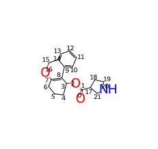 O=C(OC1CCCC2=C1c1ccccc1CO2)C1CCNC1